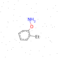 CCc1ccccc1ON